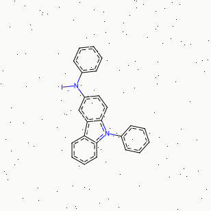 IN(c1ccccc1)c1ccc2c(c1)c1ccccc1n2-c1ccccc1